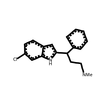 CNCCC(c1ccccc1)c1cc2ccc(Cl)cc2[nH]1